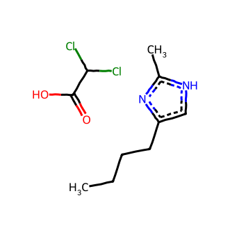 CCCCc1c[nH]c(C)n1.O=C(O)C(Cl)Cl